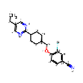 CCc1cnc(C2CCC(COc3ccc(C#N)cc3F)CC2)nc1